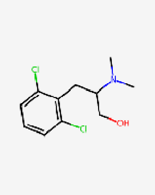 CN(C)C(CO)Cc1c(Cl)[c]ccc1Cl